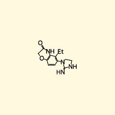 CCc1c(N2CCNC2=N)ccc2c1NC(=O)CO2